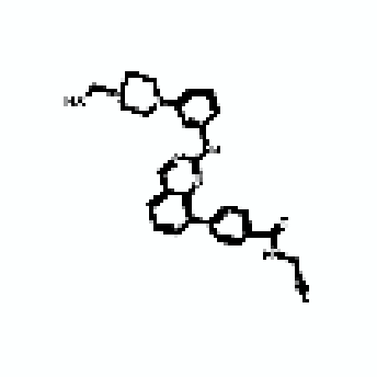 CCN1CCN(c2cccc(Nc3ncc4cccc(-c5ccc(C(=O)NCC#N)cc5)c4n3)c2)CC1